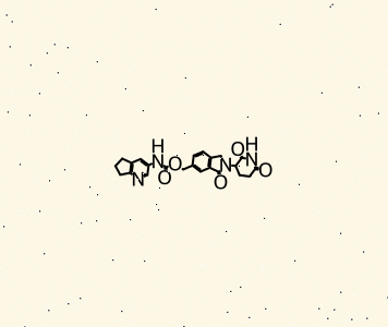 O=C1CCC(N2Cc3ccc(COC(=O)Nc4cnc5c(c4)CCC5)cc3C2=O)C(=O)N1